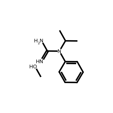 CC(C)N(C(=N)N)c1ccccc1.CO